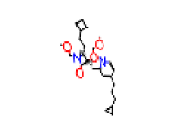 COCO[C@@]1(Cc2cc(CCCC3CC3)ccn2)C(=O)N(COC)[C@H]1CCC1CCC1